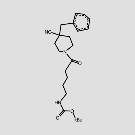 CC(C)(C)OC(=O)NCCCCC(=O)N1CCC(C#N)(Cc2ccccc2)CC1